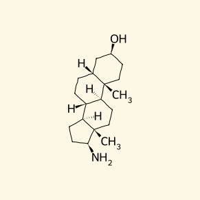 C[C@]12CC[C@H](O)C[C@H]1CC[C@@H]1[C@@H]2CC[C@]2(C)[C@@H](N)CC[C@@H]12